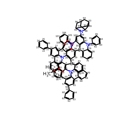 CC(C)(C)c1cc2c3c(c1)N(c1c(-c4ccccc4)cc(-c4ccccc4)cc1-c1ccccc1)c1cc4c(cc1B3c1ccccc1N2c1c(-c2ccccc2)cc(-c2ccccc2)cc1-c1ccccc1)B1c2ccccc2N(c2ccccc2)c2cc(N3C5CC6CC(C5)CC3C6)cc(c21)N4c1ccccc1